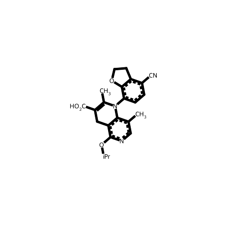 CC1=C(C(=O)O)Cc2c(OC(C)C)ncc(C)c2N1c1ccc(C#N)c2c1OCC2